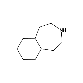 C1CCC2CCNCCC2C1